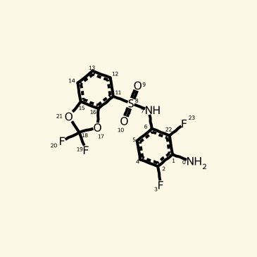 Nc1c(F)ccc(NS(=O)(=O)c2cccc3c2OC(F)(F)O3)c1F